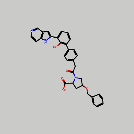 O=C(O)C1CC(OCc2ccccc2)CN1C(=O)Cc1ccc(-c2cccc(-c3cc4cnccc4[nH]3)c2O)cc1